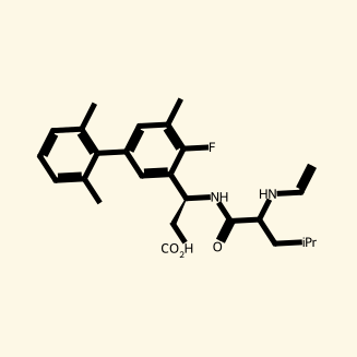 C=CNC(CC(C)C)C(=O)N[C@@H](CC(=O)O)c1cc(-c2c(C)cccc2C)cc(C)c1F